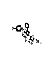 NC[C@H]1O[C@@H](n2cc(-c3ccccc3)c3c(Nc4ccc(F)cc4)ncnc32)[C@@H](O)[C@H]1O